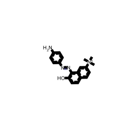 C[N+](C)(C)c1ccc2ccc(O)c(/N=N/c3ccc(N)cc3)c2c1